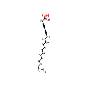 CCCCCCCCCCCCCC#CC#CCC(=O)O